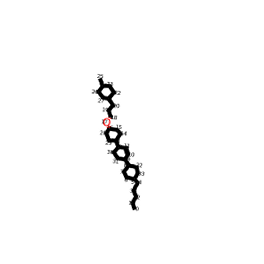 CCCCCC1CCC(C2C=CC(C3CCC(OCCCC4CCC(C)CC4)CC3)CC2)CC1